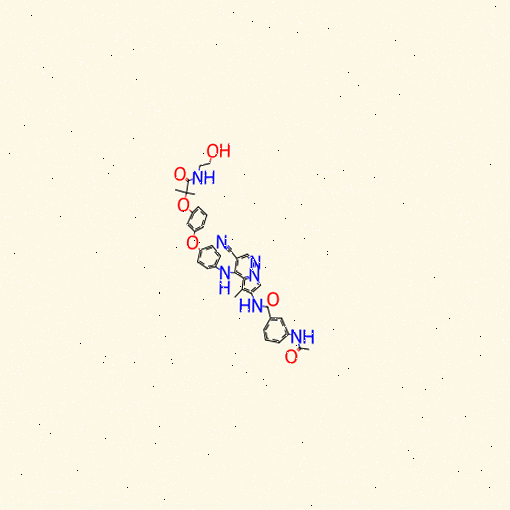 CC(=O)Nc1cccc(C(=O)Nc2cn3ncc(C#N)c(Nc4ccc(Oc5cccc(OC(C)(C)C(=O)NCCO)c5)cc4)c3c2C)c1